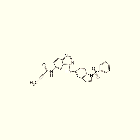 CC#CC(=O)Nc1ccc2ncnc(Nc3ccc4c(ccn4S(=O)(=O)c4ccccc4)c3)c2c1